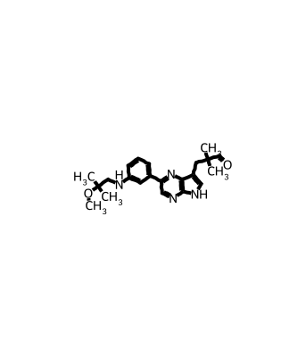 COC(C)(C)CNc1cccc(-c2cnc3[nH]cc(CC(C)(C)C=O)c3n2)c1